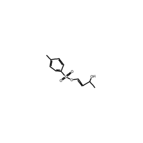 Cc1ccc(S(=O)(=O)OC=CC(C)O)cc1